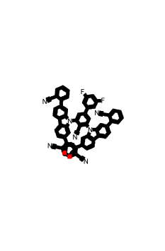 N#Cc1ccccc1-c1ccc2c3ccc(-c4ccccc4C#N)cc3n(-c3cc(-c4cc(F)cc(F)c4)cc(-n4c5cc(-c6ccccc6C#N)ccc5c5ccc(-c6ccccc6C#N)cc54)c3C#N)c2c1